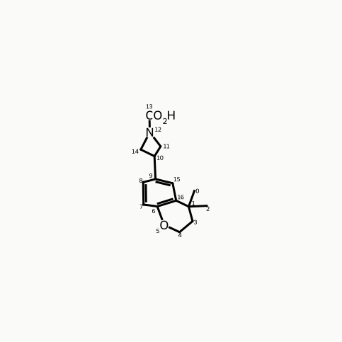 CC1(C)CCOc2ccc(C3CN(C(=O)O)C3)cc21